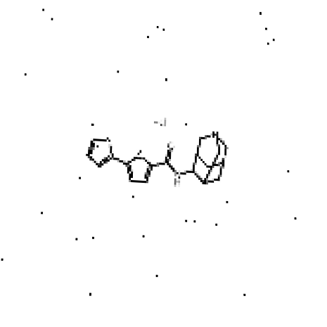 Cl.O=C(NC1C2CC3CC1CN(C3)C2)c1ccc(-c2cccs2)s1